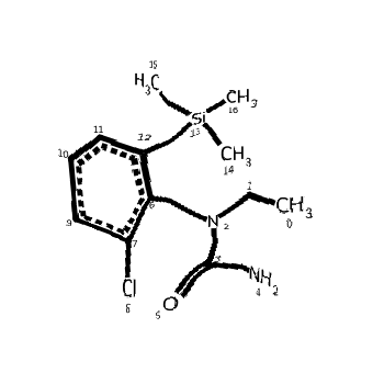 CCN(C(N)=O)c1c(Cl)cccc1[Si](C)(C)C